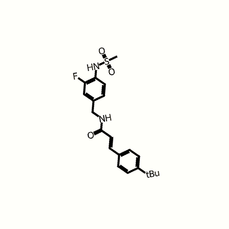 CC(C)(C)c1ccc(C=CC(=O)NCc2ccc(NS(C)(=O)=O)c(F)c2)cc1